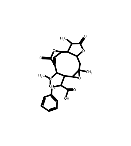 CC1C(=O)OC2CC3(C)OC3C(C(Oc3ccccc3)C(=O)O)C(N(C)C)C3=CC(OC3=O)C21